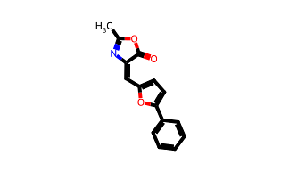 CC1=NC(=Cc2ccc(-c3ccccc3)o2)C(=O)O1